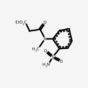 CCOC(=O)CC(=O)N(C)c1ccccc1S(N)(=O)=O